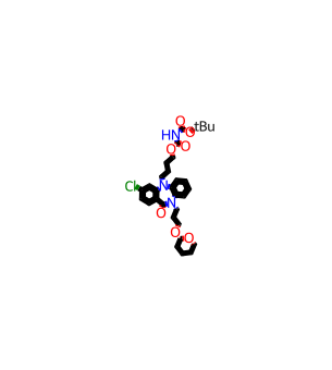 CC(C)(C)OC(=O)NC(=O)OCCCCN1c2cc(Cl)ccc2C(=O)N(CCCOC2CCCCO2)c2ccccc21